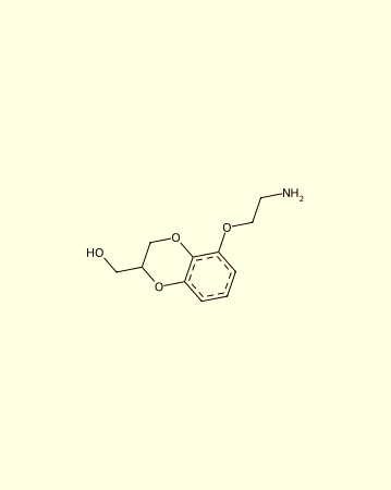 NCCOc1cccc2c1OCC(CO)O2